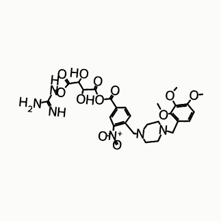 COc1ccc(CN2CCN(Cc3ccc(C(=O)OC(=O)C(O)C(O)C(=O)ONC(=N)N)cc3[N+](=O)[O-])CC2)c(OC)c1OC